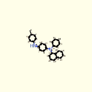 Cc1ccc(Nc2ccc(N(c3ccccc3)c3cccc4ccccc34)cc2)cc1